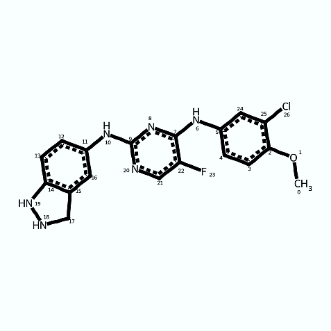 COc1ccc(Nc2nc(Nc3ccc4c(c3)CNN4)ncc2F)cc1Cl